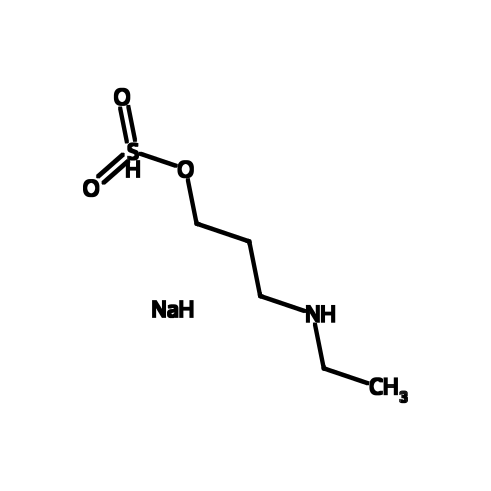 CCNCCCO[SH](=O)=O.[NaH]